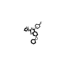 FC1CCN(c2nc(-n3cccn3)nc3cc(Oc4ccccc4)ccc23)CC1